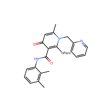 CCCCCc1c(C(=O)Nc2cccc(C)c2C)c(=O)cc(C)n1Cc1ccccn1